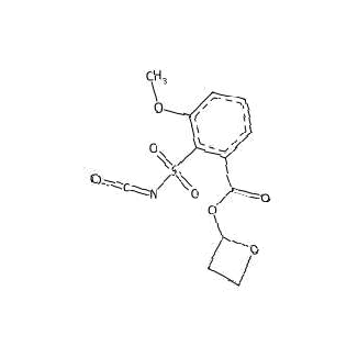 COc1cccc(C(=O)OC2CCO2)c1S(=O)(=O)N=C=O